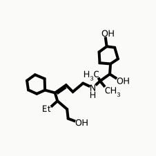 CCC(CCO)/C(=C\CCNC(C)(C)C(O)C1CCC(O)CC1)C1CCCCC1